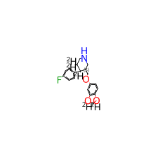 [2H]C1([2H])Oc2ccc(OC[C@@H]3CNCC([2H])([2H])C3([2H])c3ccc(F)cc3)cc2O1